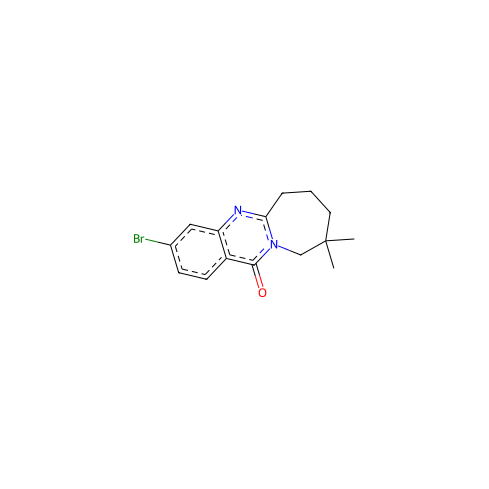 CC1(C)CCCc2nc3cc(Br)ccc3c(=O)n2C1